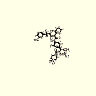 CCC(=O)N[C@@H](C(=O)N1CCS(=O)(=O)CC1)[C@@H](C)c1ccc(NC(=O)[C@@H](NC(=O)C(F)(F)c2cccc(C#N)c2)C2CCCCC2)c(F)c1